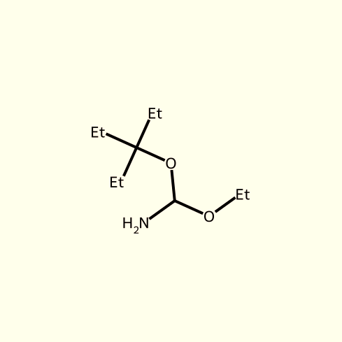 CCOC(N)OC(CC)(CC)CC